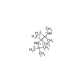 CNC(C)(C)C(C)(C)NC(C)(C)C